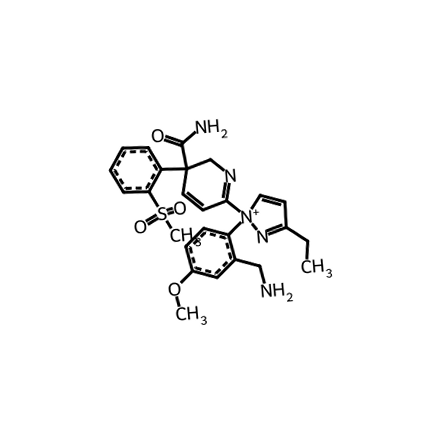 CCC1=N[N+](C2=NCC(C(N)=O)(c3ccccc3S(C)(=O)=O)C=C2)(c2ccc(OC)cc2CN)C=C1